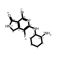 N[C@H]1CCCCC1Nc1nc(Br)c2c(c1F)CNC2=O